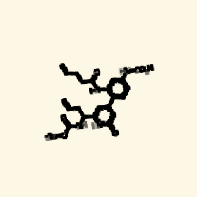 C=CCCC(=O)Nc1cc(NC(=O)O)ccc1-c1cc([C@H](CC=C)NC(=O)OC(C)(C)C)[nH]c(=O)c1